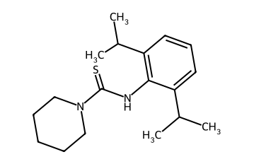 CC(C)c1cccc(C(C)C)c1NC(=S)N1CCCCC1